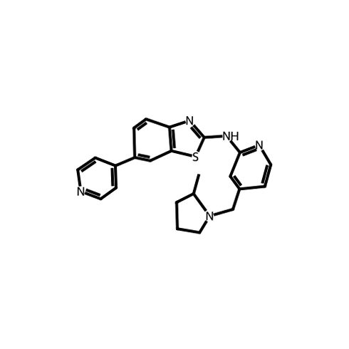 CC1CCCN1Cc1ccnc(Nc2nc3ccc(-c4ccncc4)cc3s2)c1